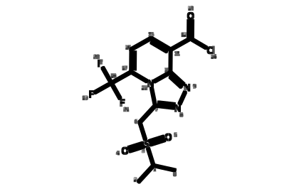 CC(C)S(=O)(=O)Cc1nnc2c(C(=O)Cl)ccc(C(F)(F)F)n12